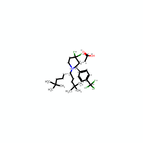 CC(C)(C)CCC[C@@H](CCC(C)(C)C)N1CCC(F)(F)[C@H](CC(=O)O)[C@H]1c1ccc(C(F)(F)F)cc1